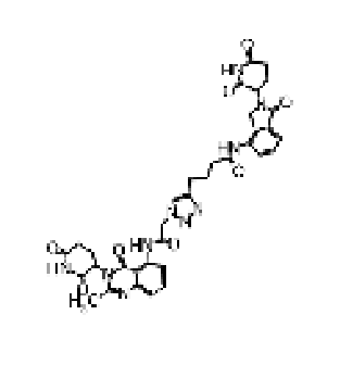 Cc1nc2cccc(NC(=O)Cn3cc(CCCC(=O)Nc4cccc5c4CN(C4CCC(=O)NC4=O)C5=O)nn3)c2c(=O)n1C1CCC(=O)NC1=O